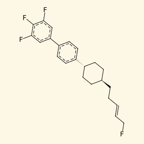 FC/C=C/CC[C@H]1CC[C@H](c2ccc(-c3cc(F)c(F)c(F)c3)cc2)CC1